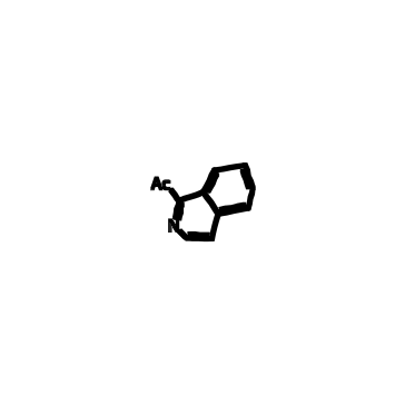 [CH2]C(=O)c1nccc2ccccc12